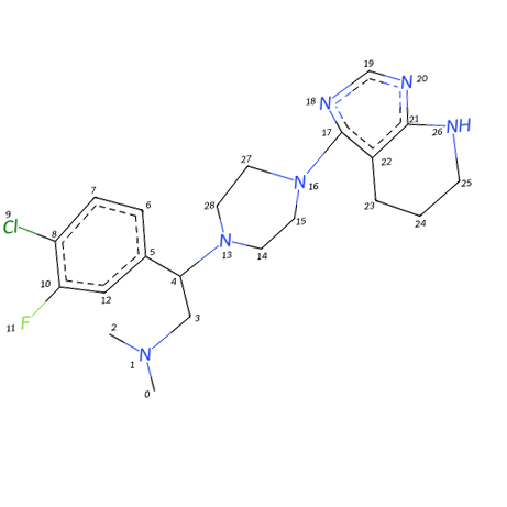 CN(C)CC(c1ccc(Cl)c(F)c1)N1CCN(c2ncnc3c2CCCN3)CC1